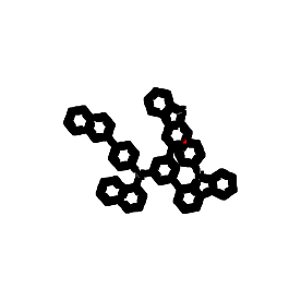 c1ccc(-n2c3ccccc3c3cccc(-c4cc(-c5ccc6sc7ccccc7c6c5)cc(N(c5ccc(-c6ccc7ccccc7c6)cc5)c5cccc6ccccc56)c4)c32)cc1